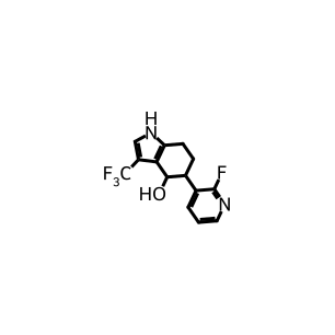 OC1c2c(C(F)(F)F)c[nH]c2CCC1c1cccnc1F